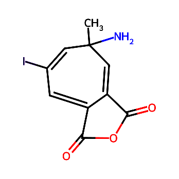 CC1(N)C=C(I)C=C2C(=O)OC(=O)C2=C1